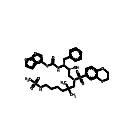 CC(C)(CCCCNS(C)(=O)=O)CN(C[C@@H](O)[C@H](Cc1ccccc1)NC(=O)Oc1coc2occc12)S(=O)(=O)c1ccc2c(c1)OCCO2